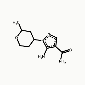 CC1CC(n2ncc(C(N)=O)c2N)CCO1